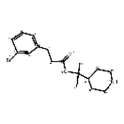 CC(C)(OC(=O)CCc1cccc(Br)c1)C1CCNCC1